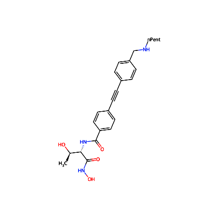 CCCCCNCc1ccc(C#Cc2ccc(C(=O)N[C@H](C(=O)NO)[C@@H](C)O)cc2)cc1